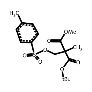 COC(=O)C(C)(COS(=O)(=O)c1ccc(C)cc1)C(=O)OC(C)(C)C